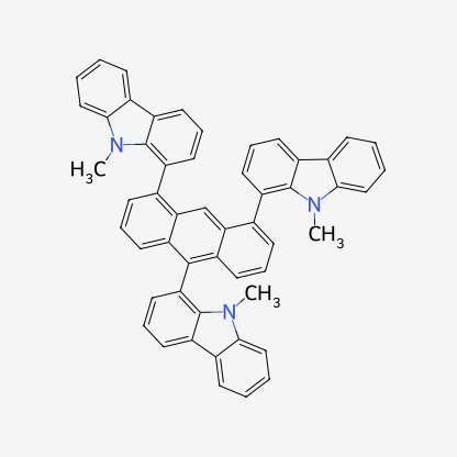 Cn1c2ccccc2c2cccc(-c3cccc4c(-c5cccc6c7ccccc7n(C)c56)c5cccc(-c6cccc7c8ccccc8n(C)c67)c5cc34)c21